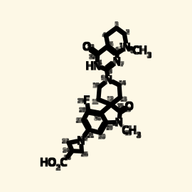 CN1CCCc2c1nc(N1CCC3(CC1)C(=O)N(C)c1cc(N4CC(C(=O)O)C4)cc(F)c13)[nH]c2=O